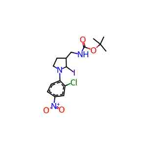 CC(C)(C)OC(=O)NCC1CCN(c2ccc([N+](=O)[O-])cc2Cl)C1I